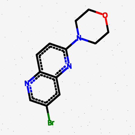 Brc1cnc2ccc(N3CCOCC3)nc2c1